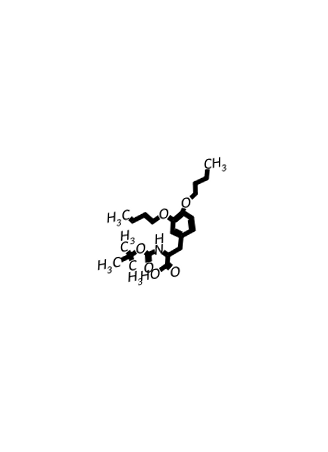 CCCCOc1ccc(CC(NC(=O)OC(C)(C)C)C(=O)O)cc1OCCCC